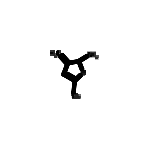 C=C1C=C(C(C)(C)C)OC1N